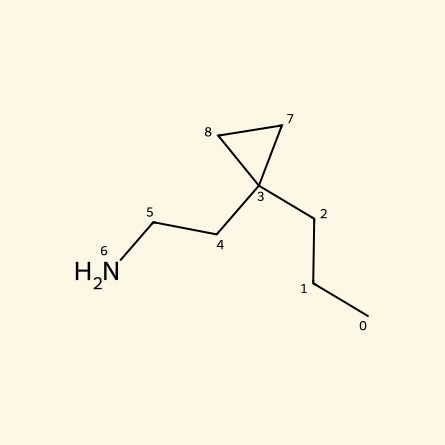 CCCC1(CCN)CC1